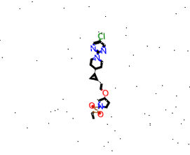 CCS(=O)(=O)N1CC[C@@H](OCC[C@@H]2C[C@@H]2C2CCN(c3ncc(Cl)cn3)CC2)C1